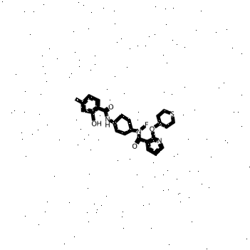 Cc1ccc(C(=O)NC2CCC(N(F)C(=O)c3cccnc3OC3CCSCC3)CC2)c(O)c1